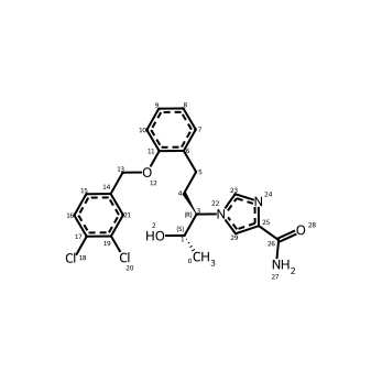 C[C@H](O)[C@@H](CCc1ccccc1OCc1ccc(Cl)c(Cl)c1)n1cnc(C(N)=O)c1